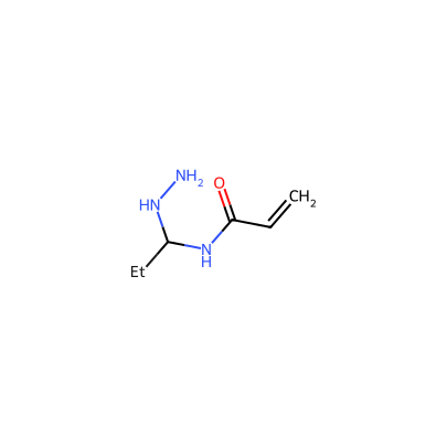 C=CC(=O)NC(CC)NN